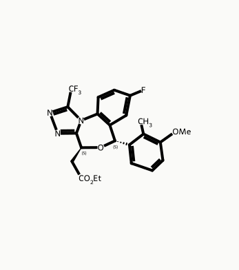 CCOC(=O)C[C@@H]1O[C@@H](c2cccc(OC)c2C)c2cc(F)ccc2-n2c1nnc2C(F)(F)F